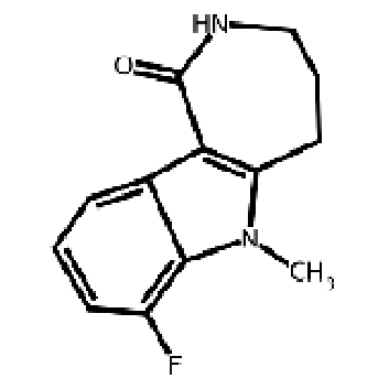 Cn1c2c(c3cccc(F)c31)C(=O)NCCC2